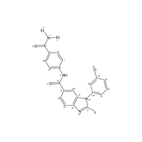 CCN(CC)C(=O)c1ccc(NC(=O)c2ccc3nc(C)n(-c4cccc(Cl)c4)c3c2)cc1